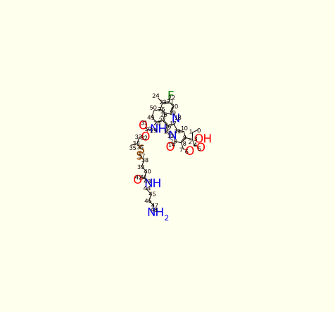 CC[C@@]1(O)C(=O)OCc2c1cc1n(c2=O)Cc2c-1nc1cc(F)c(C)c3c1c2[C@@H](NC(=O)OCC(C)SSCCCC(=O)NCCCCN)CC3